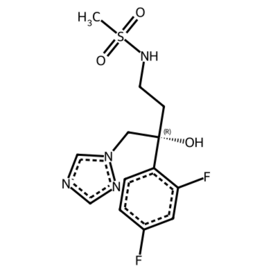 CS(=O)(=O)NCC[C@](O)(Cn1cncn1)c1ccc(F)cc1F